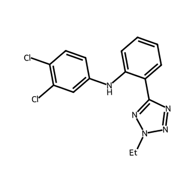 CCn1nnc(-c2ccccc2Nc2ccc(Cl)c(Cl)c2)n1